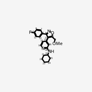 COCc1onc(-c2ccc(F)cc2)c1-c1ccnc(NC2CCCCC2)c1